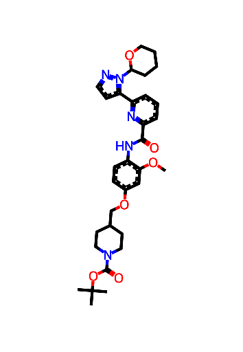 COc1cc(OCC2CCN(C(=O)OC(C)(C)C)CC2)ccc1NC(=O)c1cccc(-c2ccnn2C2CCCCO2)n1